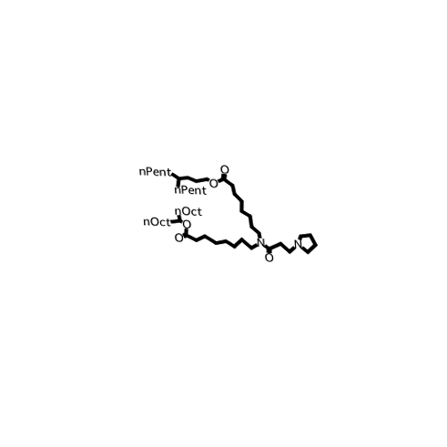 CCCCCCCCC(CCCCCCCC)OC(=O)CCCCCCCN(CCCCCCCC(=O)OCCCC(CCCCC)CCCCC)C(=O)CCN1CCCC1